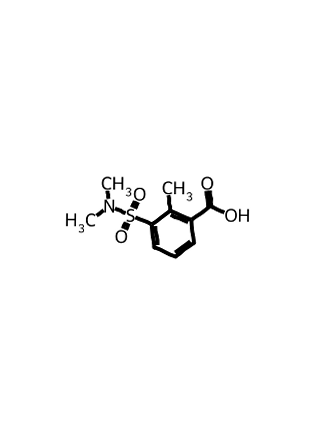 Cc1c(C(=O)O)cccc1S(=O)(=O)N(C)C